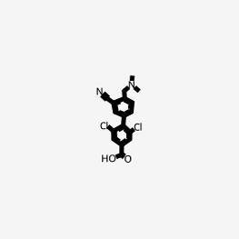 CN(C)Cc1ccc(-c2c(Cl)cc(C(=O)O)cc2Cl)cc1C#N